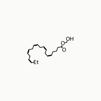 CC/C=C\C/C=C\C/C=C\C/C=C\C/C=C\CCCC(=O)OCO